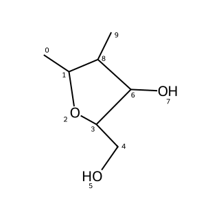 CC1OC(CO)C(O)C1C